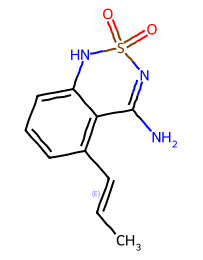 C/C=C/c1cccc2c1C(N)=NS(=O)(=O)N2